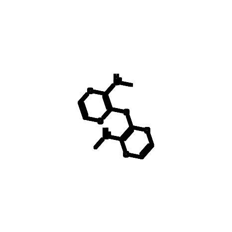 C[SiH2]C1=C(OC2=C([SiH2]C)OC=CO2)OC=CO1